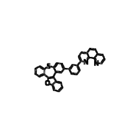 c1cc(-c2ccc3c(c2)-c2c(oc4ccccc24)-c2ccccc2S3)cc(-c2ccc3ccc4cccnc4c3n2)c1